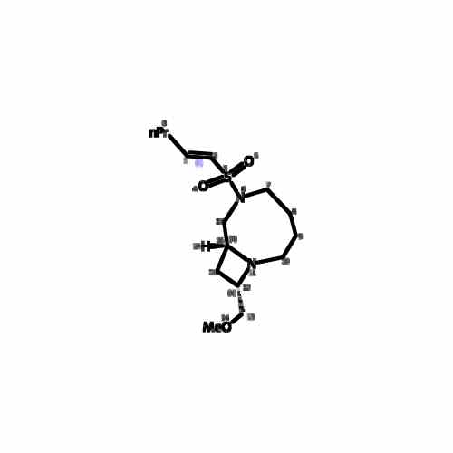 CCC/C=C/S(=O)(=O)N1CCCCN2[C@H](COC)C[C@@H]2C1